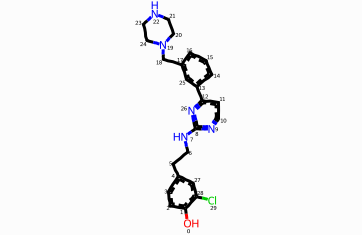 Oc1ccc(CCNc2nccc(-c3cccc(CN4CCNCC4)c3)n2)cc1Cl